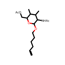 C=CCCCCOC1OC(COC(C)=O)C(C)C(C)C1NC(C)=O